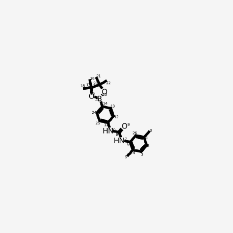 Cc1ccc(C)c(NC(=O)Nc2ccc(B3OC(C)(C)C(C)(C)O3)cc2)c1